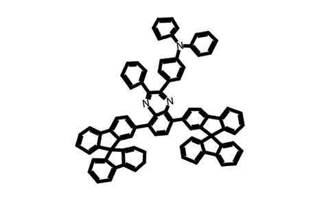 C1=C2C(=CCC1)C1(c3ccccc32)c2ccccc2-c2ccc(-c3ccc(-c4ccc5c(c4)C4(c6ccccc6-c6ccccc64)c4ccccc4-5)c4nc(-c5ccc(N(c6ccccc6)c6ccccc6)cc5)c(-c5ccccc5)nc34)cc21